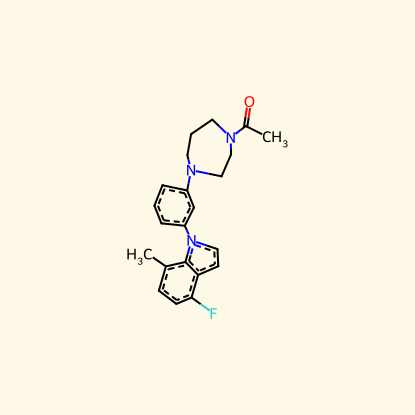 CC(=O)N1CCCN(c2cccc(-n3ccc4c(F)ccc(C)c43)c2)CC1